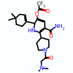 CN(C)CC(=O)N1CCC(C2=C(C(N)=O)C=C(OC(=O)C(F)(F)F)C(C3=CCC(C)(C)CC3)N2)CC1